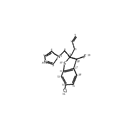 C=CCC1(Cn2ccnc2)Sc2cc(Cl)ccc2C1F